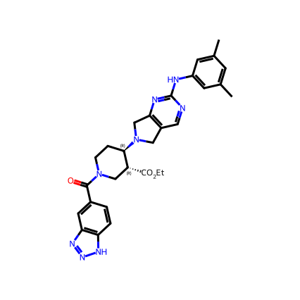 CCOC(=O)[C@@H]1CN(C(=O)c2ccc3[nH]nnc3c2)CC[C@H]1N1Cc2cnc(Nc3cc(C)cc(C)c3)nc2C1